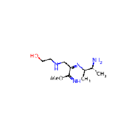 COC(=N)/C(CNCCO)=N\C(C)[C@@H](C)N